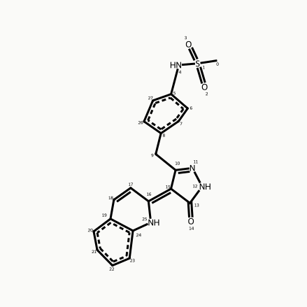 CS(=O)(=O)Nc1ccc(CC2=NNC(=O)/C2=C2/C=Cc3ccccc3N2)cc1